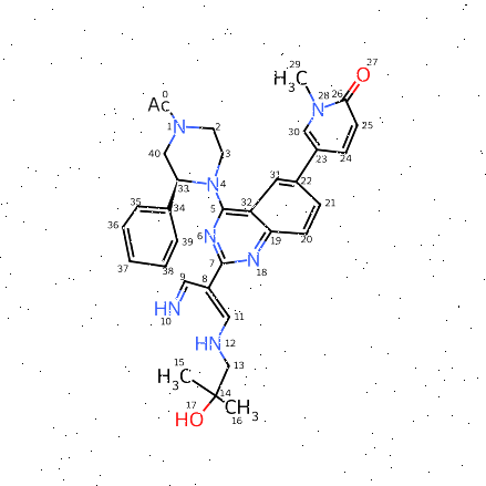 CC(=O)N1CCN(c2nc(/C(C=N)=C/NCC(C)(C)O)nc3ccc(-c4ccc(=O)n(C)c4)cc23)[C@@H](c2ccccc2)C1